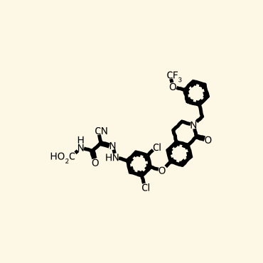 N#CC(=NNc1cc(Cl)c(Oc2ccc3c(c2)CCN(Cc2cccc(OC(F)(F)F)c2)C3=O)c(Cl)c1)C(=O)NC(=O)O